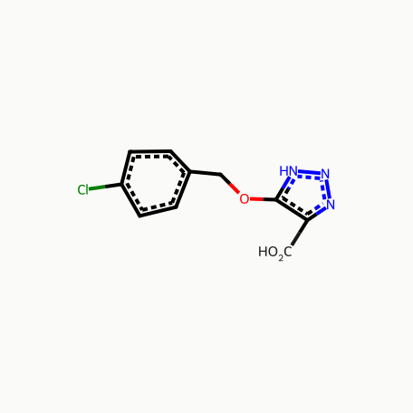 O=C(O)c1nn[nH]c1OCc1ccc(Cl)cc1